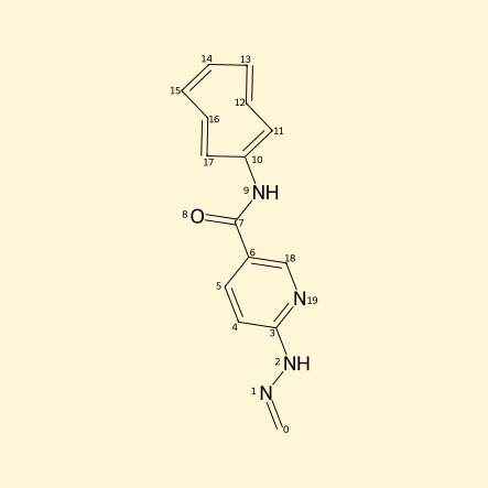 C=NNc1ccc(C(=O)NC2=C/C=C/C=C\C=C\2)cn1